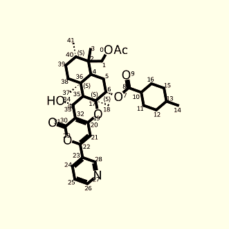 CC(=O)OCC1(C)C2C[C@H](OC(=O)C3CCC(C)CC3)[C@@]3(C)Oc4cc(-c5cccnc5)oc(=O)c4[C@H](O)C3[C@@]2(C)CC[C@@H]1C